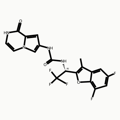 Cc1c([C@@H](NC(=O)Nc2cc3c(=O)[nH]ccn3c2)C(F)(F)F)oc2c(F)cc(F)cc12